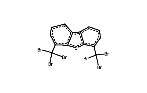 BrC(Br)(Br)c1cccc2c1sc1c(C(Br)(Br)Br)cccc12